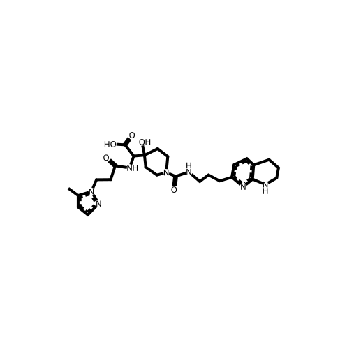 Cc1ccnn1CCC(=O)NC(C(=O)O)C1(O)CCN(C(=O)NCCCc2ccc3c(n2)NCCC3)CC1